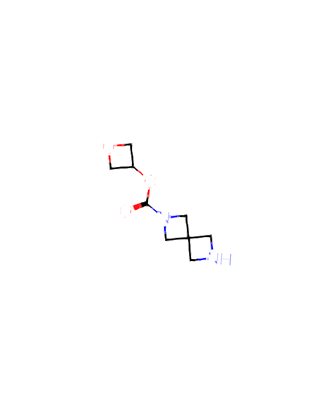 O=C(OC1COC1)N1CC2(CNC2)C1